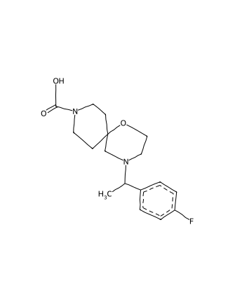 CC(c1ccc(F)cc1)N1CCOC2(CCN(C(=O)O)CC2)C1